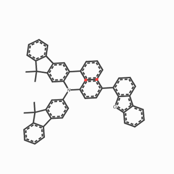 CC1(C)c2ccccc2-c2ccc(N(c3ccc(-c4cccc5c4oc4ccccc45)cc3)c3cc4c(cc3-c3ccccc3)-c3ccccc3C4(C)C)cc21